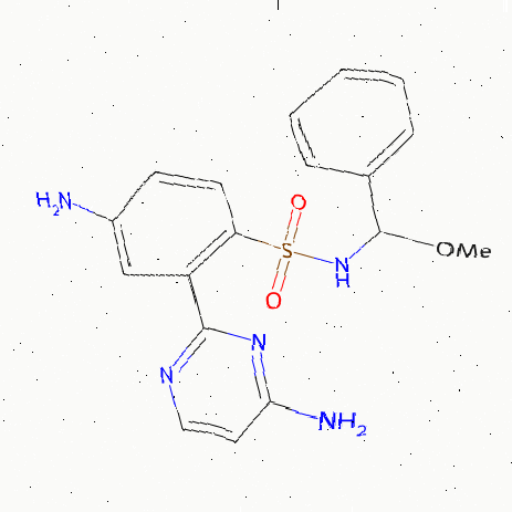 COC(NS(=O)(=O)c1ccc(N)cc1-c1nccc(N)n1)c1ccccc1